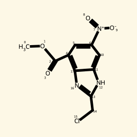 COC(=O)c1cc([N+](=O)[O-])cc2[nH]c(CCl)nc12